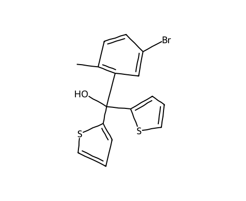 Cc1ccc(Br)cc1C(O)(c1cccs1)c1cccs1